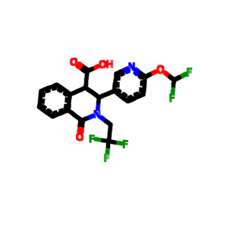 O=C(O)C1c2ccccc2C(=O)N(CC(F)(F)F)C1c1ccc(OC(F)F)nc1